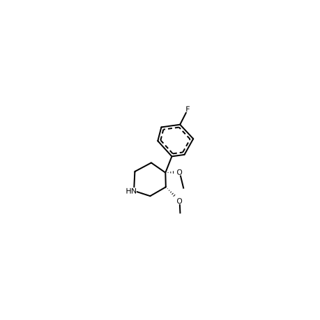 CO[C@@H]1CNCC[C@@]1(OC)c1ccc(F)cc1